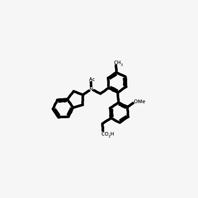 COc1ccc(CC(=O)O)cc1-c1ccc(C)cc1CN(C(C)=O)C1Cc2ccccc2C1